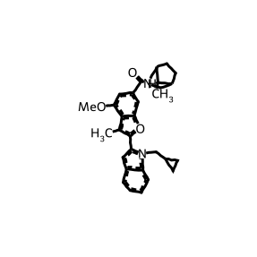 COc1cc(C(=O)N2CC3CCC2[C@@H]3C)cc2oc(-c3cc4ccccc4n3CC3CC3)c(C)c12